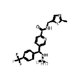 Cc1ncc(CNC(=O)c2ccc(C(N[SH](=O)=O)c3ccc(C(F)(F)F)cc3)cn2)s1